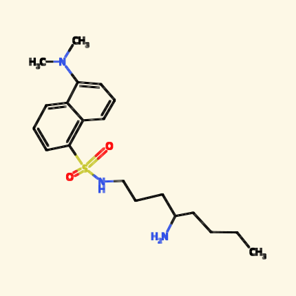 CCCCC(N)CCCNS(=O)(=O)c1cccc2c(N(C)C)cccc12